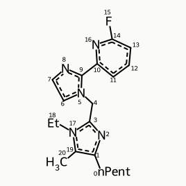 CCCCCc1nc(Cn2ccnc2-c2cccc(F)n2)n(CC)c1C